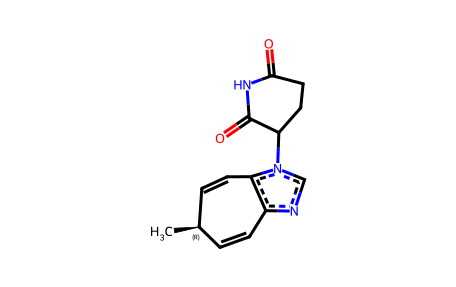 C[C@@H]1C=Cc2ncn(C3CCC(=O)NC3=O)c2C=C1